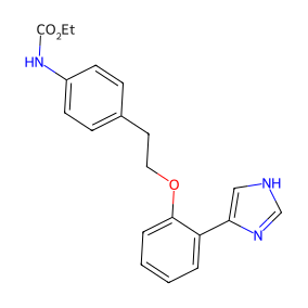 CCOC(=O)Nc1ccc(CCOc2ccccc2-c2c[nH]cn2)cc1